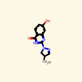 O=C(O)C1C=NN(c2nc3cc(O)ccc3c(=O)[nH]2)C1